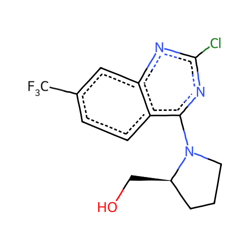 OC[C@@H]1CCCN1c1nc(Cl)nc2cc(C(F)(F)F)ccc12